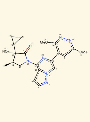 COc1cc(-c2cn3nccc3c(N3C[C@@H](C)[C@@](C#N)(C4CC4)C3=O)n2)c(OC)nn1